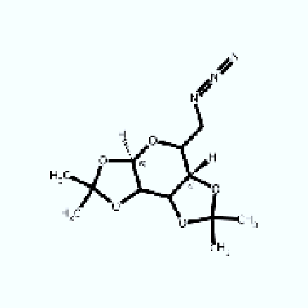 CC1(C)OC2C3OC(C)(C)O[C@H]3C(CN=[N+]=[N-])O[C@@H]2O1